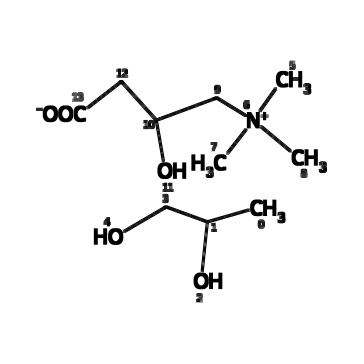 CC(O)CO.C[N+](C)(C)CC(O)CC(=O)[O-]